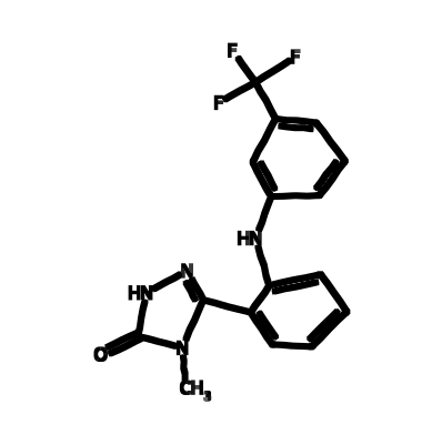 Cn1c(-c2ccccc2Nc2cccc(C(F)(F)F)c2)n[nH]c1=O